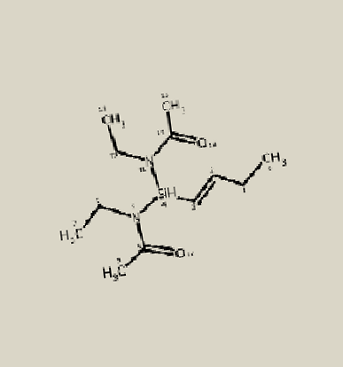 CCC=C[SiH](N(CC)C(C)=O)N(CC)C(C)=O